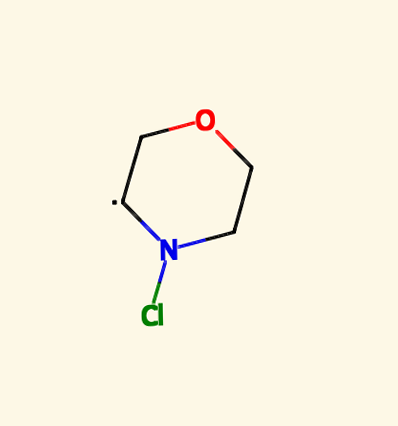 ClN1[CH]COCC1